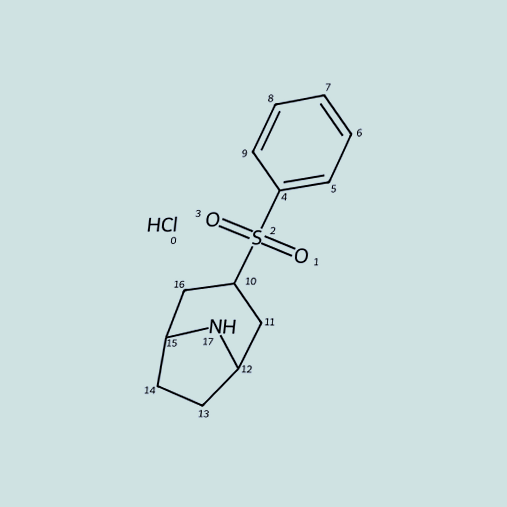 Cl.O=S(=O)(c1ccccc1)C1CC2CCC(C1)N2